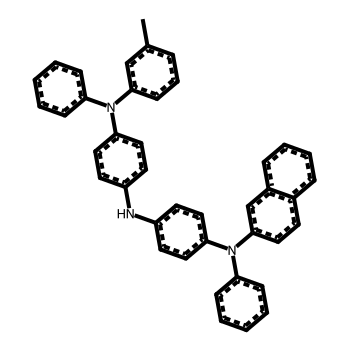 Cc1cccc(N(c2ccccc2)c2ccc(Nc3ccc(N(c4ccccc4)c4ccc5ccccc5c4)cc3)cc2)c1